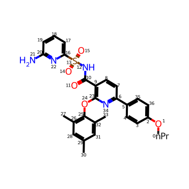 CCCOc1ccc(-c2ccc(C(=O)NS(=O)(=O)c3cccc(N)n3)c(Oc3c(C)cc(C)cc3C)n2)cc1